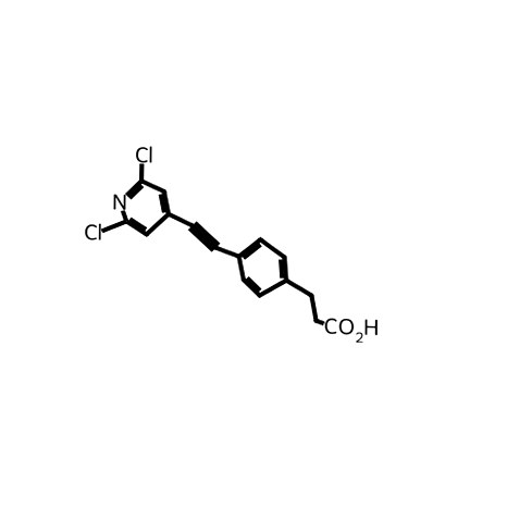 O=C(O)CCc1ccc(C#Cc2cc(Cl)nc(Cl)c2)cc1